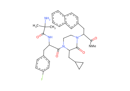 CNC(=O)C(Cc1ccc2ccccc2c1)N1CCN(C(=O)C(Cc2ccc(F)cc2)NC(=O)C(C)(C)N)C(CC2CC2)C1=O